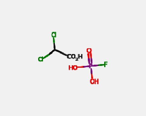 O=C(O)C(Cl)Cl.O=P(O)(O)F